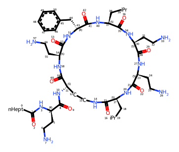 CCCCCCCC(=O)N[C@H](CCN)C(=O)N[C@H]1CCNC(=O)[C@H](CC(C)C)NC(=O)[C@H](CCN)NC(=O)[C@H](CCN)NC(=O)[C@H](CC(C)C)NC(=O)[C@@H](Cc2ccccc2)NC(=O)[C@H](CCN)NC1=O